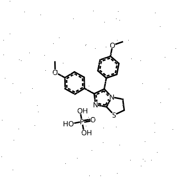 COc1ccc(-c2nc3n(c2-c2ccc(OC)cc2)CCS3)cc1.O=P(O)(O)O